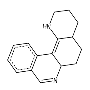 C1=NC2CCC3CCCNC3=C2c2ccccc21